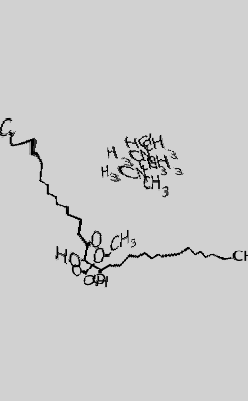 CCCCCCCCCCCCCCCC(=O)C(O)C(OCC)(C(=O)O)C(=O)CCCCCCCCCCCCCCC.CN(C)C.CN(C)C.Cl